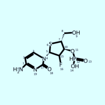 Nc1ccn([C@@H]2S[C@H](CO)[C@@H](O[PH](=O)O)C2F)c(=O)n1